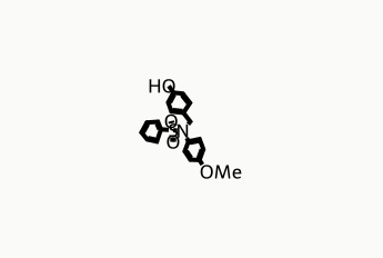 COc1ccc(N(Cc2ccc(O)cc2)S(=O)(=O)c2ccccc2)cc1